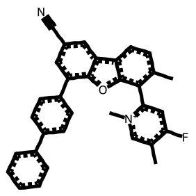 Cc1c[n+](C)c(-c2c(C)ccc3c2oc2c(-c4ccc(-c5ccccc5)cc4)cc(C#N)cc23)cc1F